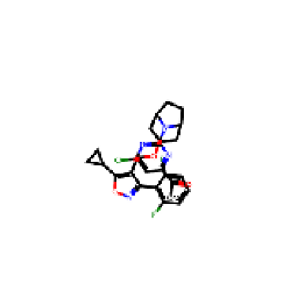 COC(=O)c1cc(Cl)nc(N2C3CCC2CC(OCc2c(-c4c(F)cccc4F)noc2C2CC2)C3)n1